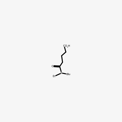 CCN(C(=O)CCCC(=O)O)C(C)(C)C